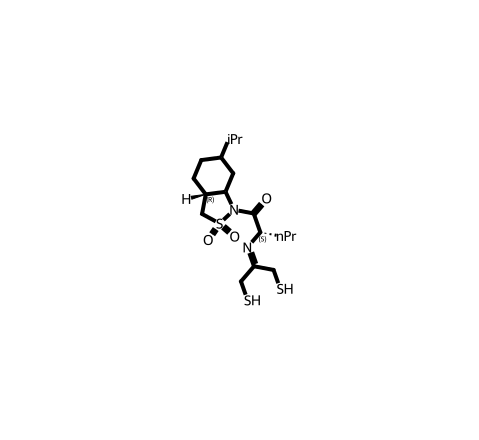 CCC[C@H](N=C(CS)CS)C(=O)N1C2CC(C(C)C)CC[C@H]2CS1(=O)=O